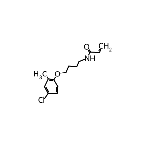 C=CC(=O)NCCCCOc1ccc(Cl)cc1C